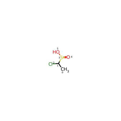 CC(Cl)S(=O)O